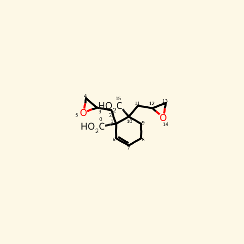 O=C(O)C1(CC2CO2)C=CCCC1(CC1CO1)C(=O)O